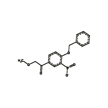 COCC(=O)c1ccc(OCc2ccccc2)c([N+](=O)[O-])c1